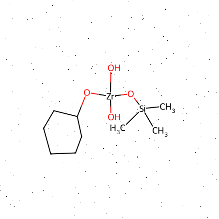 C[Si](C)(C)[O][Zr]([OH])([OH])[O]C1CCCCC1